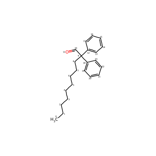 CCCCCCCCCC([C]=O)(c1ccccc1)c1ccccc1